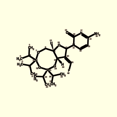 CC(C)[Si]1(C(C)C)OC[C@H]2OC(n3ccc(N)nc3=O)/C(=C/F)[C@@H]2O[Si](C(C)C)(C(C)C)O1